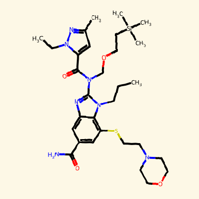 CCCn1c(N(COCC[Si](C)(C)C)C(=O)c2cc(C)nn2CC)nc2cc(C(N)=O)cc(SCCN3CCOCC3)c21